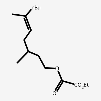 CCCCC(C)=CCC(C)CCOC(=O)C(=O)OCC